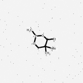 CCCCC1(C)COP(C)OC1CC